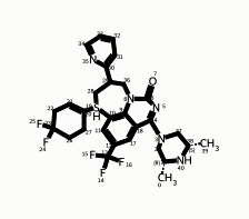 C[C@@H]1CN(c2nc(=O)n3c4c(cc(C(F)(F)F)cc24)[SH](C2=CCC(F)(F)CC2)CC(c2ccccn2)C3)C[C@H](C)N1